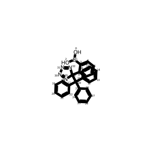 OB(O)c1ccccc1C1(C(c2ccccc2)(c2ccccc2)c2ccccc2)N=NN=N1